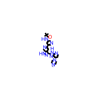 CN1CCN(c2ccnc3[nH]c(-c4n[nH]c5cnc(-c6cncc(NC(=O)C(C)(C)C)c6)cc45)nc23)CC1